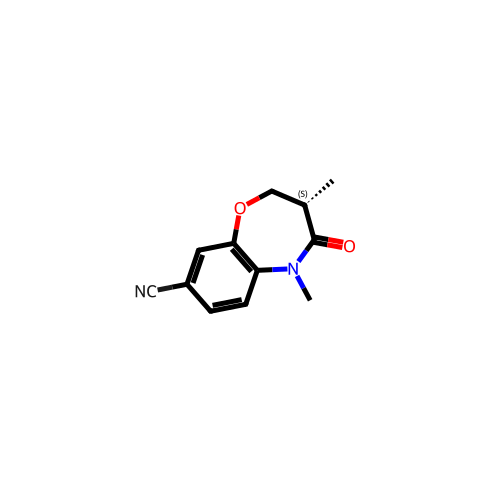 C[C@H]1COc2cc(C#N)ccc2N(C)C1=O